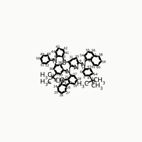 CC(C)(C)c1ccc(N(c2ccc3c(n2)N(c2cccc4c2oc2ccccc24)c2cc(C(C)(C)C)cc4c2B3c2ccccc2N4c2ccccc2)c2cccc3ccccc23)cc1